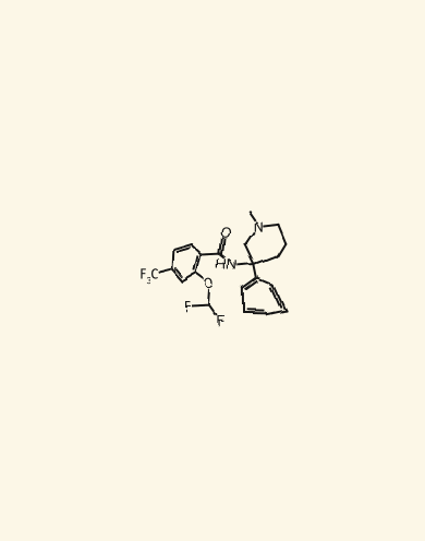 CN1CCCC(NC(=O)c2ccc(C(F)(F)F)cc2OC(F)F)(c2ccccc2)C1